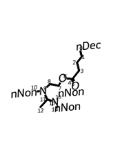 CCCCCCCCCCCCCC(=O)OCCN(CCCCCCCCC)C(C)N(CCCCCCCCC)CCCCCCCCC